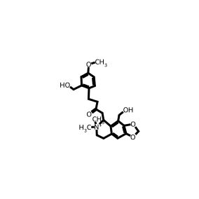 COc1ccc(CCC(=O)CC2c3c(cc4c(c3CO)OCO4)CC[N+]2(C)C)c(CO)c1